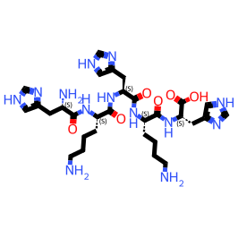 NCCCC[C@H](NC(=O)[C@H](Cc1c[nH]cn1)NC(=O)[C@H](CCCCN)NC(=O)[C@@H](N)Cc1c[nH]cn1)C(=O)N[C@@H](Cc1c[nH]cn1)C(=O)O